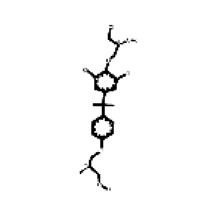 CC(=O)O[C@H](CCl)COc1c(Cl)cc(C(C)(C)c2ccc(OC[C@H](C)COC(C)C)cc2)cc1Cl